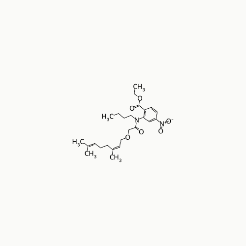 CCCCN(C(=O)COCC=C(C)CCC=C(C)C)c1cc([N+](=O)[O-])ccc1C(=O)OCC